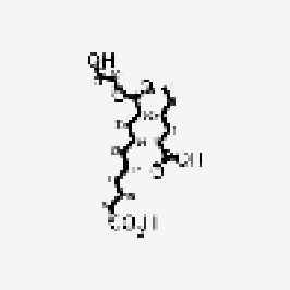 CCCCCC(=O)O.O=C(O)CCCCCCCCC(=O)OCCO